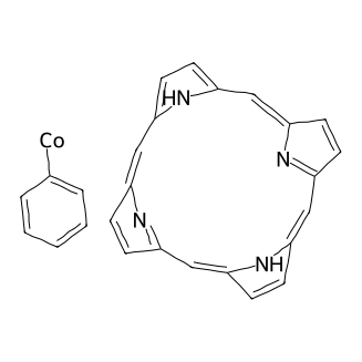 C1=Cc2cc3ccc(cc4nc(cc5ccc(cc1n2)[nH]5)C=C4)[nH]3.[Co][c]1ccccc1